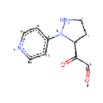 O=CC(=O)C1CCNN1c1ccncc1